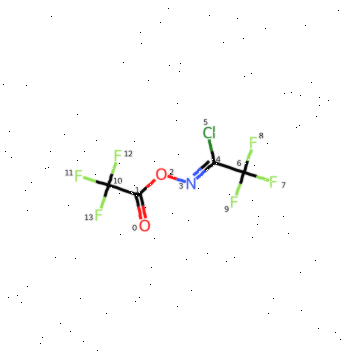 O=C(ON=C(Cl)C(F)(F)F)C(F)(F)F